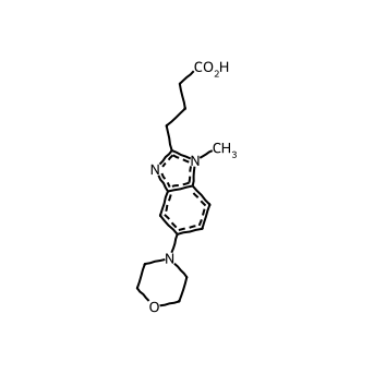 Cn1c(CCCC(=O)O)nc2cc(N3CCOCC3)ccc21